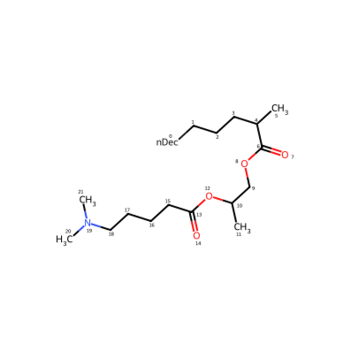 CCCCCCCCCCCCCC(C)C(=O)OCC(C)OC(=O)CCCCN(C)C